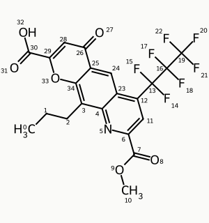 CCCc1c2nc(C(=O)OC)cc(C(F)(F)C(F)(F)C(F)(F)F)c2cc2c(=O)cc(C(=O)O)oc12